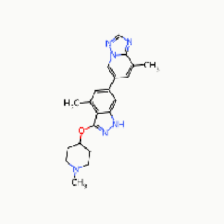 Cc1cc(-c2cc(C)c3ncnn3c2)cc2[nH]nc(OC3CCN(C)CC3)c12